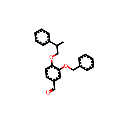 CC(COc1ccc(C=O)cc1OCc1ccccc1)c1ccccc1